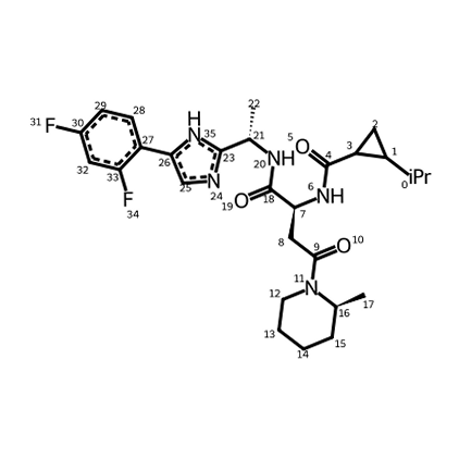 CC(C)C1CC1C(=O)N[C@@H](CC(=O)N1CCCC[C@@H]1C)C(=O)N[C@@H](C)c1ncc(-c2ccc(F)cc2F)[nH]1